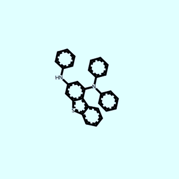 c1ccc(Nc2cc(N(c3ccccc3)c3ccccc3)c3c(c2)sc2ccccc23)cc1